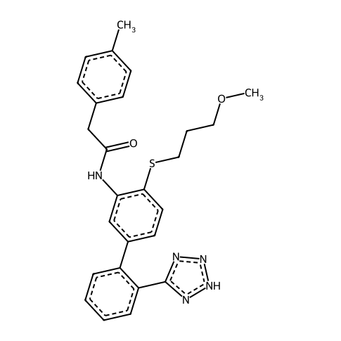 COCCCSc1ccc(-c2ccccc2-c2nn[nH]n2)cc1NC(=O)Cc1ccc(C)cc1